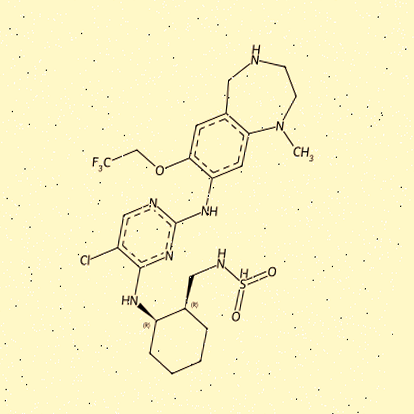 CN1CCNCc2cc(OCC(F)(F)F)c(Nc3ncc(Cl)c(N[C@@H]4CCCC[C@@H]4CN[SH](=O)=O)n3)cc21